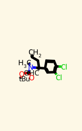 C=CCC(C=O)(c1ccc(Cl)c(Cl)c1)N(C)C(=O)OC(C)(C)C